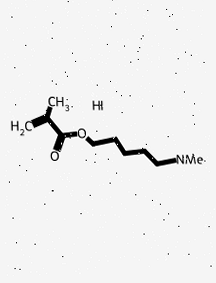 C=C(C)C(=O)OCCCCCNC.I